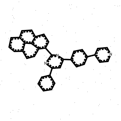 c1ccc(-c2cc(-c3ccc(-c4ccncc4)cc3)nc(-c3ccc4ccc5cccc6ccc3c4c56)n2)cc1